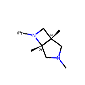 CC(C)N1C[C@]2(C)CN(C)C[C@]12C